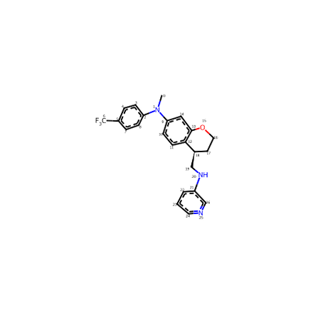 CN(c1ccc(C(F)(F)F)cc1)c1ccc2c(c1)OCC[C@H]2CNc1cccnc1